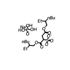 CCCCC(CC)COC(=O)CC(C(=O)OCC(CC)CCCC)S(=O)(=O)[O-].O=P(O)(O)O.[Na+]